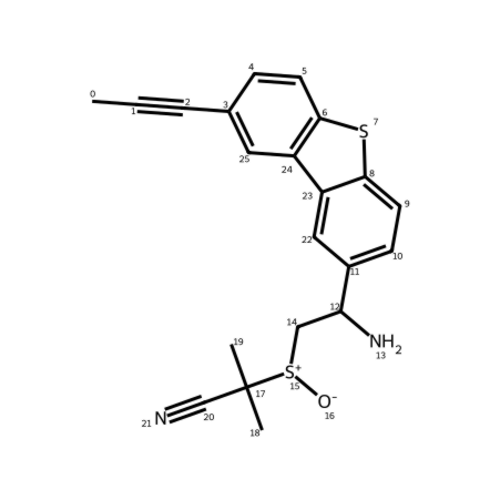 CC#Cc1ccc2sc3ccc(C(N)C[S+]([O-])C(C)(C)C#N)cc3c2c1